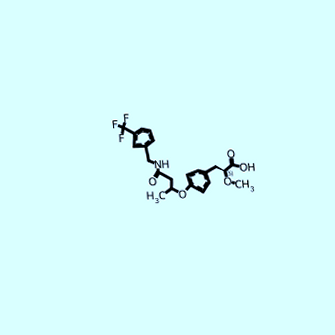 CO[C@@H](Cc1ccc(OC(C)CC(=O)NCc2cccc(C(F)(F)F)c2)cc1)C(=O)O